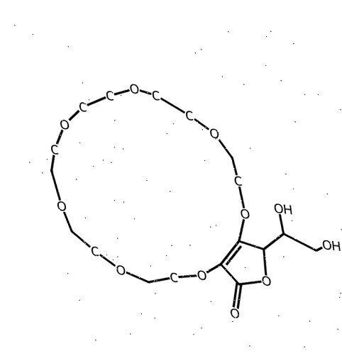 O=C1OC(C(O)CO)C2=C1OCCOCCOCCOCCOCCOCCO2